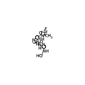 C[C@@H](NC(=O)c1ccc2c(n1)N(C(=O)Nc1cc(NCCO)ccn1)[C@H]1CCN2C1)C(F)(F)CF